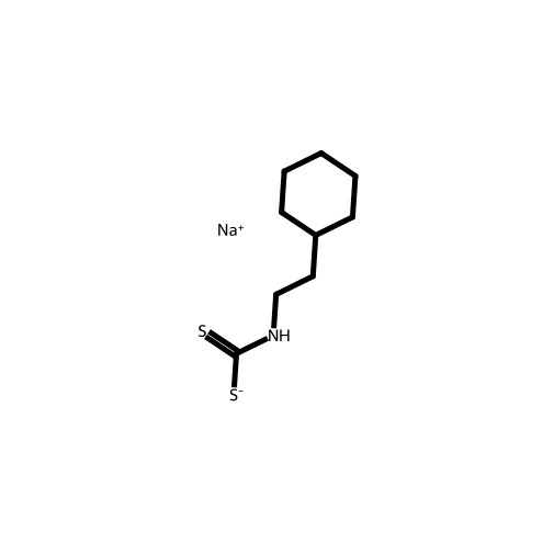 S=C([S-])NCCC1CCCCC1.[Na+]